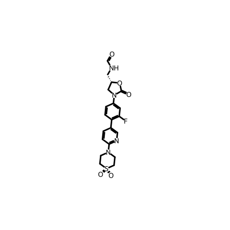 O=CNC[C@H]1CN(c2ccc(-c3ccc(N4CCS(=O)(=O)CC4)nc3)c(F)c2)C(=O)O1